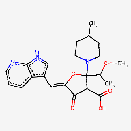 COC(C)C1(N2CCC(C)CC2)O/C(=C\c2c[nH]c3ncccc23)C(=O)C1C(=O)O